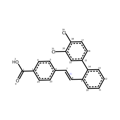 O=C(O)c1ccc(/C=C/c2ccccc2-c2ccc(Cl)c(Cl)c2)cc1